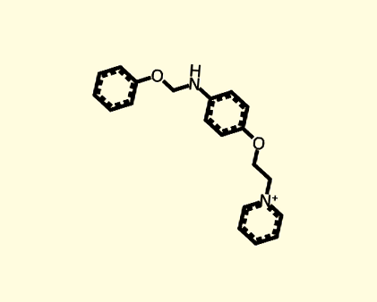 c1ccc(OCNc2ccc(OCC[n+]3ccccc3)cc2)cc1